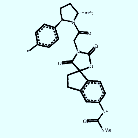 CC[C@H]1CC[C@H](c2ccc(F)cc2)N1C(=O)CN1C(=O)OC2(CCc3cc(NC(=O)NC)ccc32)C1=O